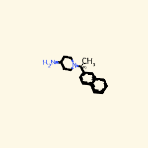 C[C@H](c1ccc2ccccc2c1)N1CCC(N)CC1